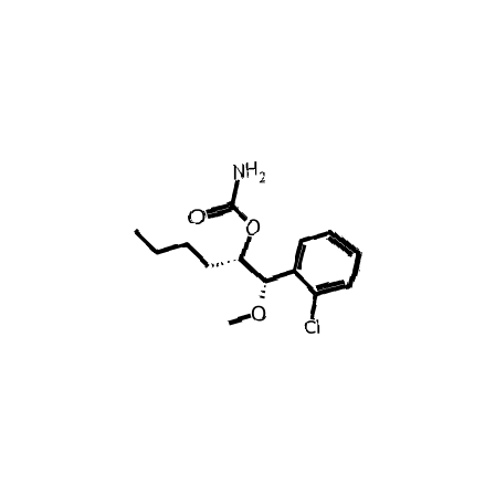 CCCC[C@H](OC(N)=O)[C@@H](OC)c1ccccc1Cl